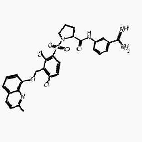 Cc1ccc2cccc(OCc3c(Cl)ccc(S(=O)(=O)N4CCC[C@H]4C(=O)Nc4cccc(C(=N)N)c4)c3Cl)c2n1